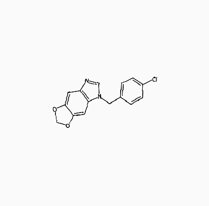 Clc1ccc(Cn2cnc3cc4c(cc32)OCO4)cc1